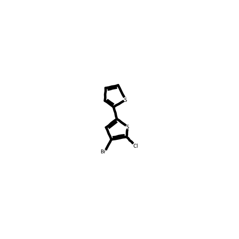 Clc1sc(-c2cccs2)cc1Br